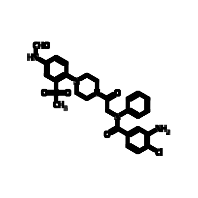 CS(=O)(=O)c1cc(NC=O)ccc1N1CCN(C(=O)CN(C(=O)c2ccc(Cl)c(N)c2)c2ccccc2)CC1